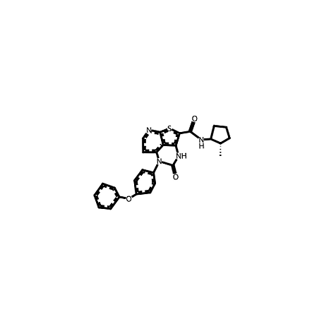 C[C@H]1CCCC1NC(=O)c1sc2nccc3c2c1NC(=O)N3c1ccc(Oc2ccccc2)cc1